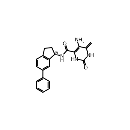 C=C1NC(=O)NC(C(=O)N[C@@H]2CCc3ccc(-c4ccccc4)cc32)=C1N